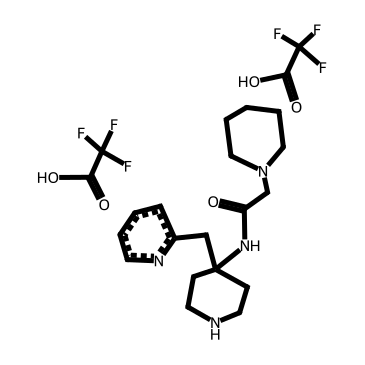 O=C(CN1CCCCC1)NC1(Cc2ccccn2)CCNCC1.O=C(O)C(F)(F)F.O=C(O)C(F)(F)F